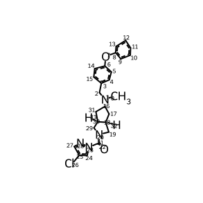 CN(Cc1ccc(Oc2ccccc2)cc1)[C@@H]1C[C@@H]2CN(C(=O)n3cc(Cl)cn3)C[C@@H]2C1